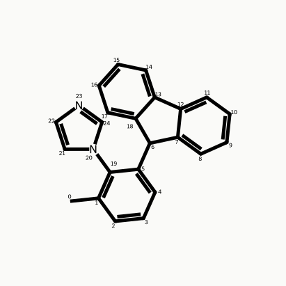 Cc1cccc(C2c3ccccc3-c3ccccc32)c1-n1ccnc1